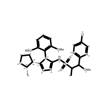 COc1cccc(OC)c1-n1c(NS(=O)(=O)C(C)C(OC)c2ncc(Cl)cn2)nnc1[C@H]1CCO[C@H]1C